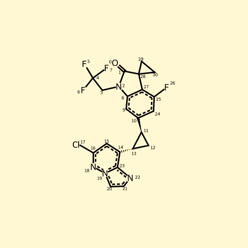 O=C1N(CC(F)(F)F)c2cc([C@H]3C[C@@H]3c3cc(Cl)nn4ccnc34)cc(F)c2C12CC2